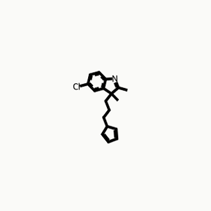 CC1=Nc2ccc(Cl)cc2C1(C)CCCC1C=CC=C1